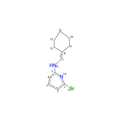 Brc1cccc(NC=C2CCCCC2)n1